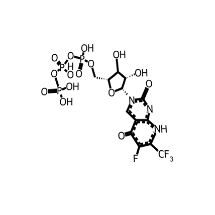 O=c1c(F)c(C(F)(F)F)[nH]c2nc(=O)n([C@@H]3O[C@H](COP(=O)(O)OP(=O)(O)OP(=O)(O)O)C(O)[C@@H]3O)cc12